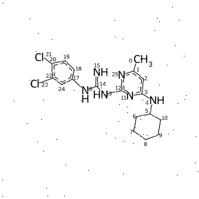 Cc1cc(NC2CCCCC2)nc(NC(=N)Nc2ccc(Cl)c(Cl)c2)n1